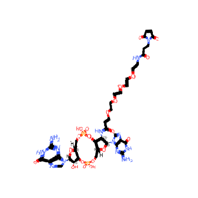 Nc1nc2c(ncn2[C@@H]2O[C@@H]3COP(=O)(O)OC4[C@@H](COP(=O)(O)OC3[C@@H]2O)O[C@@H](n2cnc3c(=O)[nH]c(N)nc32)[C@H]4NC(=O)CCOCCOCCOCCOCCNC(=O)CCN2C(=O)C=CC2=O)c(=O)[nH]1